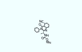 C[C@H](NC(=O)OC(C)(C)C)c1nc2cccc(C#N)c2c(=O)n1-c1ccccc1